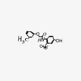 Cc1cccc(OCC(=O)Nc2ccc(O)cc2[N+](=O)[O-])c1